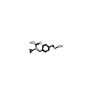 O=C(O)N(Cc1ccc(/C=N/O)cc1)C1CC1